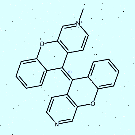 C[n+]1ccc2c(c1)Oc1ccccc1/C2=C1/c2ccccc2Oc2cnccc21